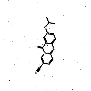 CC(C)Oc1ccc2nc3ccc(C#N)cn3c(=O)c2c1